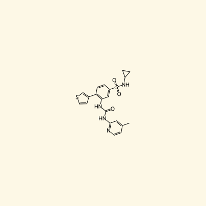 Cc1ccnc(NC(=O)Nc2cc(S(=O)(=O)NC3CC3)ccc2-c2ccsc2)c1